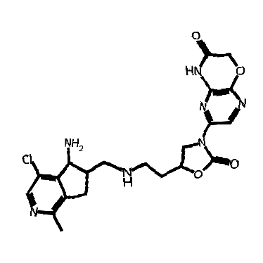 Cc1ncc(Cl)c2c1CC(CNCCC1CN(c3cnc4c(n3)NC(=O)CO4)C(=O)O1)C2N